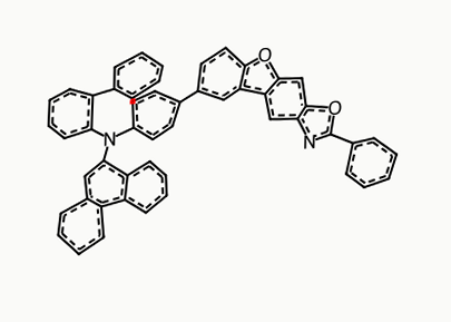 c1ccc(-c2nc3cc4c(cc3o2)oc2ccc(-c3ccc(N(c5ccccc5-c5ccccc5)c5cc6ccccc6c6ccccc56)cc3)cc24)cc1